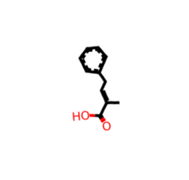 C/C(=C\Cc1ccccc1)C(=O)O